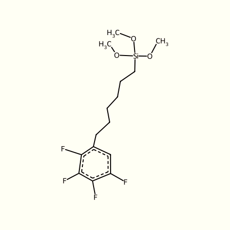 CO[Si](CCCCCCc1cc(F)c(F)c(F)c1F)(OC)OC